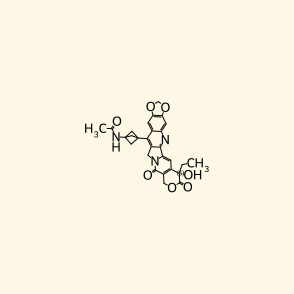 CC[C@@]1(O)C(=O)OCc2c1cc1n(c2=O)Cc2c-1nc1cc3c(cc1c2C12CC(NC(C)=O)(C1)C2)OCO3